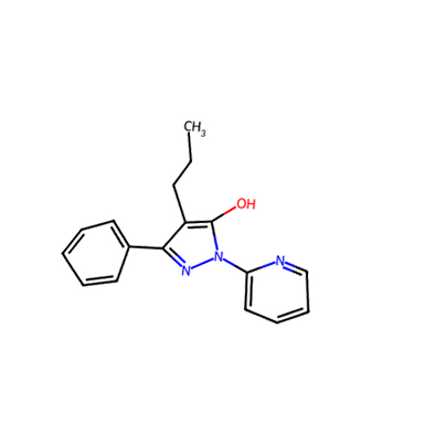 CCCc1c(-c2ccccc2)nn(-c2ccccn2)c1O